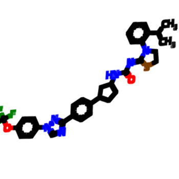 CC(C)c1ccccc1N1CCS/C1=N\C(=O)NC1CCC(c2ccc(-c3ncn(-c4ccc(OC(F)(F)F)cc4)n3)cc2)C1